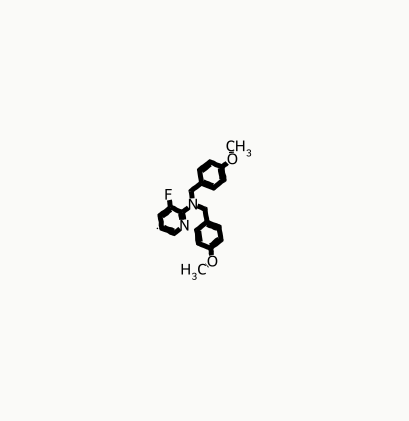 COc1ccc(CN(Cc2ccc(OC)cc2)c2nc[c]cc2F)cc1